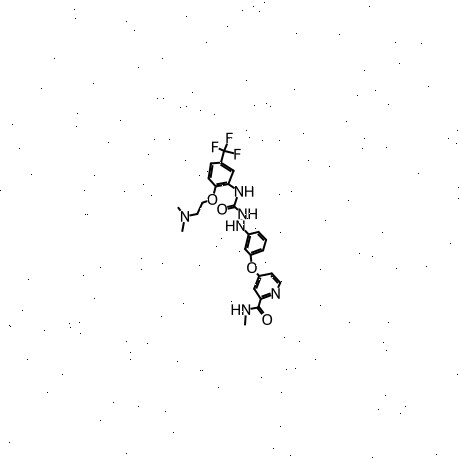 CNC(=O)c1cc(Oc2cccc(NNC(=O)Nc3cc(C(F)(F)F)ccc3OCCN(C)C)c2)ccn1